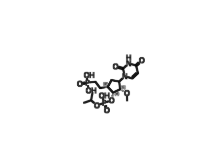 CO[C@H]1C(n2ccc(=O)[nH]c2=O)C[C@H](CCP(=O)(O)O)[C@H]1OP(=O)(O)OC(C)C